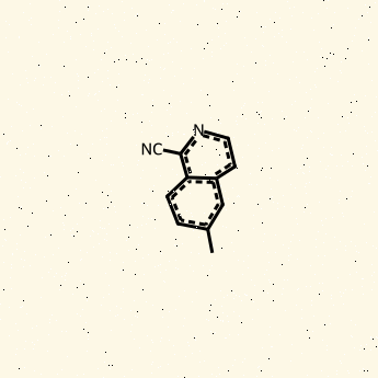 Cc1ccc2c(C#N)nccc2c1